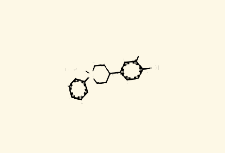 CCCCC[Si]1(c2ccccc2)CCC(c2ccc(O)c(F)c2)CC1